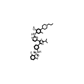 CCCN1CCC(c2cc(OC)c(Nc3nccc(-c4sc(C(C)C)nc4-c4cccc(NS(=O)(=O)c5c(F)cccc5F)c4)n3)cc2C)CC1